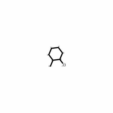 C[C]1CCCCC1Cl